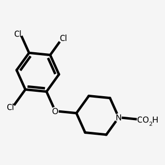 O=C(O)N1CCC(Oc2cc(Cl)c(Cl)cc2Cl)CC1